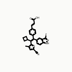 Cc1cc(C#N)sc1C(=C(c1ccc(C=CC(=O)O)cc1)c1ccc2[nH]nc(F)c2c1)C1CCC1